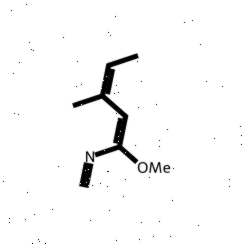 C=N/C(=C\C(C)=C/C)OC